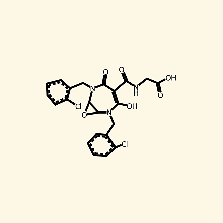 O=C(O)CNC(=O)C1=C(O)N(Cc2ccccc2Cl)C2OC2N(Cc2ccccc2Cl)C1=O